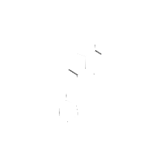 CC(=O)C(Br)C(Br)C(=O)OCC1CCCCC1